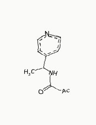 CC(=O)C(=O)NC(C)c1ccncc1